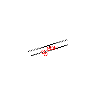 CCCCCCCCCCCCCCC(CCCCCCCCCCCC)C(=O)O.CCCCCCCCCCCCCCCC(=O)OCCCCCCCC